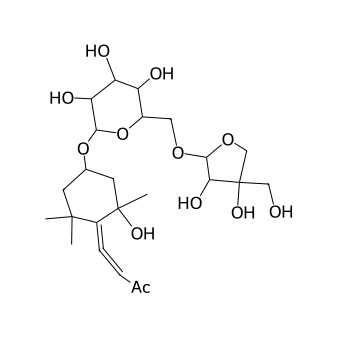 CC(=O)C=C=C1C(C)(C)CC(OC2OC(COC3OCC(O)(CO)C3O)C(O)C(O)C2O)CC1(C)O